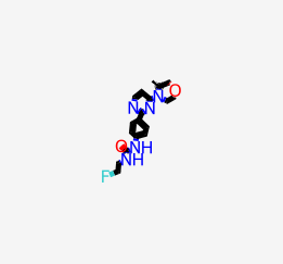 C[C@H]1COCCN1c1ccnc(-c2ccc(NC(=O)NCCF)cc2)n1